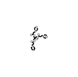 CCC(COC(=O)CCN1CCOCC1)(COC(=O)CCN1CCOCC1)COC(=O)CCN1CCOCC1